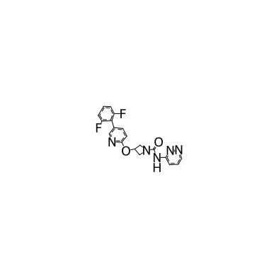 O=C(Nc1cccnn1)N1CC(Oc2ccc(-c3c(F)cccc3F)cn2)C1